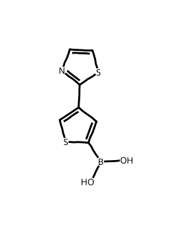 OB(O)c1cc(-c2nccs2)cs1